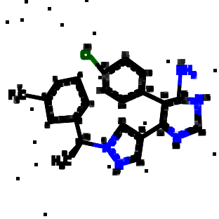 C[C@@H](c1cccc(C(F)(F)F)c1)n1cc(-c2ncnc(N)c2-c2ccc(Cl)cc2)cn1